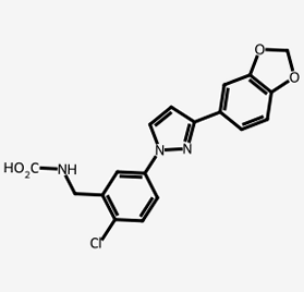 O=C(O)NCc1cc(-n2ccc(-c3ccc4c(c3)OCO4)n2)ccc1Cl